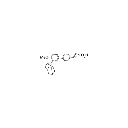 COc1ccc(-c2ccc(/C=C/C(=O)O)cc2)cc1C1C2CC3CC(C2)CC1C3